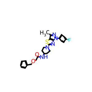 Cc1nn(-c2ccc(F)cc2)c2nc(N3CCC(NC(=O)COCc4ccccc4)CC3)sc12